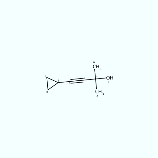 CC(C)(O)C#CC1CC1